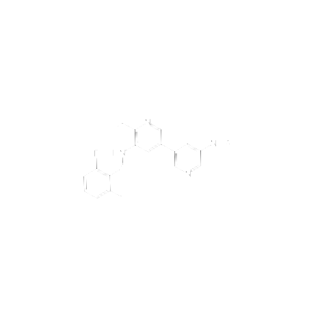 CC(=O)Nc1cncc(-c2cnc(Cl)c(NSc3c(F)cccc3F)c2)c1